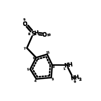 NNc1cccc(C[SH](=O)=O)c1